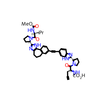 C#CC[C@H](NC(=O)O)C(=O)N1CCC[C@H]1c1nc2ccc(C#Cc3ccc4c(c3)CCCc3nc([C@@H]5CCCN5C(=O)[C@@H](NC(=O)OC)C(C)C)[nH]c3-4)cc2[nH]1